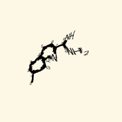 Cc1ccc2ccc(C(=N)N)nc2c1